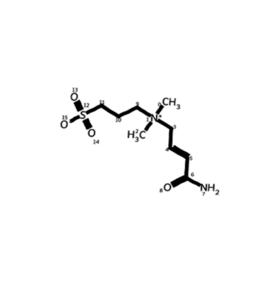 C[N+](C)(CC=CC(N)=O)CCCS(=O)(=O)[O-]